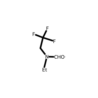 CCN([C]=O)CC(F)(F)F